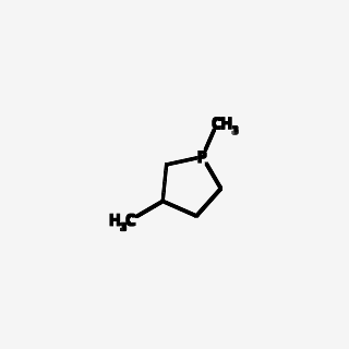 CC1CCP(C)C1